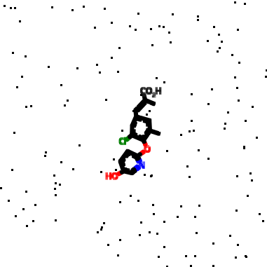 CC(=Cc1cc(C)c(Oc2ccc(O)cn2)c(Cl)c1)C(=O)O